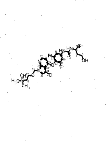 CC(C)C(CCO)NC(=S)Nc1cc(F)c(Oc2ccnc3c2c(Cl)cn3COCC[Si](C)(C)C)c(F)c1